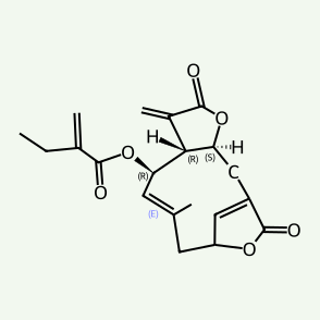 C=C(CC)C(=O)O[C@@H]1/C=C(\C)CC2C=C(C[C@@H]3OC(=O)C(=C)[C@H]31)C(=O)O2